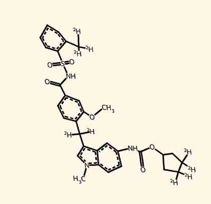 [2H]C([2H])([2H])c1ccccc1S(=O)(=O)NC(=O)c1ccc(C([2H])([2H])c2cn(C)c3ccc(NC(=O)OC4CC([2H])([2H])C([2H])([2H])C4)cc23)c(OC)c1